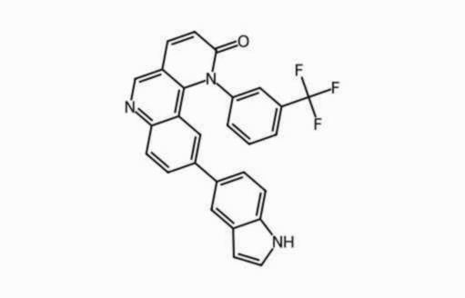 O=c1ccc2cnc3ccc(-c4ccc5[nH]ccc5c4)cc3c2n1-c1cccc(C(F)(F)F)c1